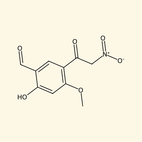 COc1cc(O)c(C=O)cc1C(=O)C[N+](=O)[O-]